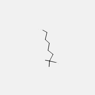 CCCCCCCCCCCC(C)(C)N=O